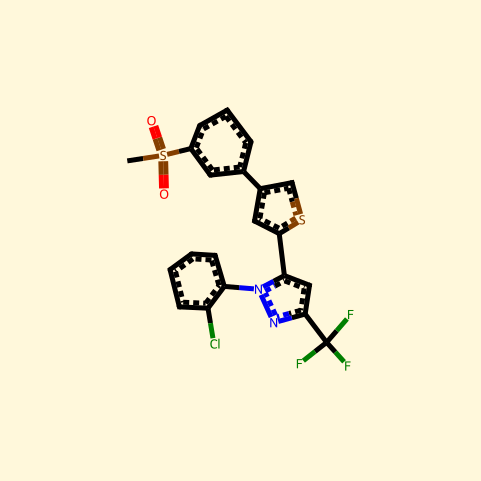 CS(=O)(=O)c1cccc(-c2csc(-c3cc(C(F)(F)F)nn3-c3ccccc3Cl)c2)c1